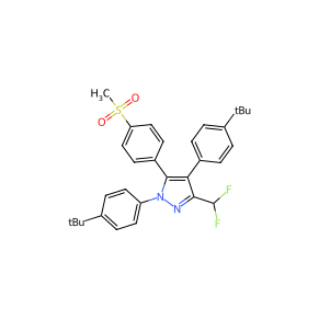 CC(C)(C)c1ccc(-c2c(C(F)F)nn(-c3ccc(C(C)(C)C)cc3)c2-c2ccc(S(C)(=O)=O)cc2)cc1